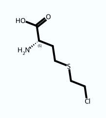 N[C@@H](CCSCCCl)C(=O)O